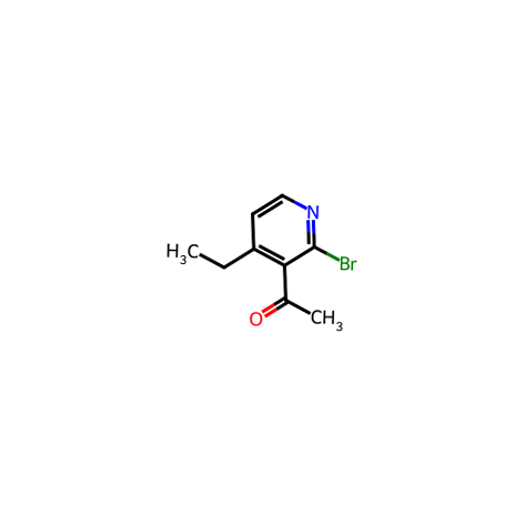 CCc1ccnc(Br)c1C(C)=O